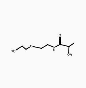 CC(O)C(=O)NCCOCCO